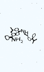 CC(COC(N)=O)OC(=O)NCCOC(=O)C(C)C